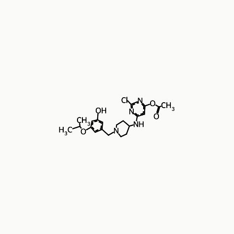 CC(=O)Oc1cc(NC2CCN(Cc3cc(O)cc(OC(C)C)c3)CC2)nc(Cl)n1